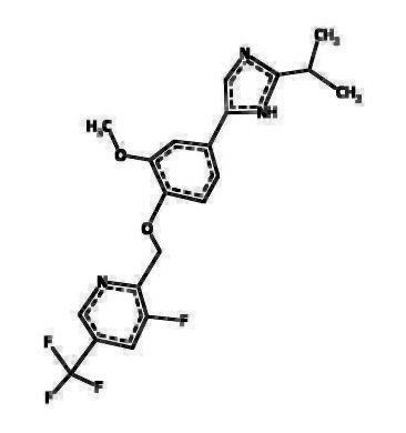 COc1cc(-c2cnc(C(C)C)[nH]2)ccc1OCc1ncc(C(F)(F)F)cc1F